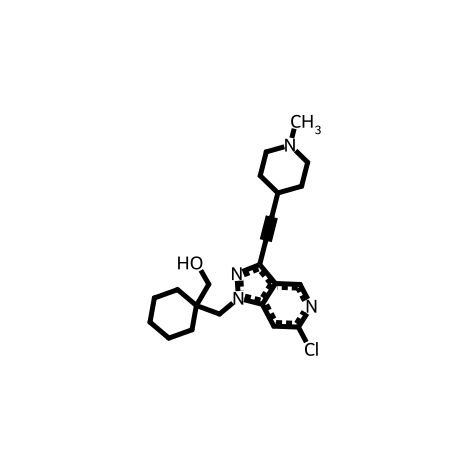 CN1CCC(C#Cc2nn(CC3(CO)CCCCC3)c3cc(Cl)ncc23)CC1